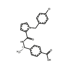 C[C@H](NC(=O)c1cccn1Cc1ccc(Cl)cc1)c1ccc(C(=O)O)cc1